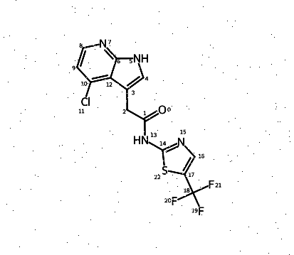 O=C(Cc1c[nH]c2nccc(Cl)c12)Nc1ncc(C(F)(F)F)s1